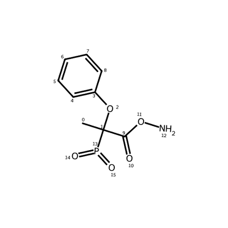 CC(Oc1ccccc1)(C(=O)ON)P(=O)=O